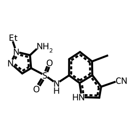 CCn1ncc(S(=O)(=O)Nc2ccc(C)c3c(C#N)c[nH]c23)c1N